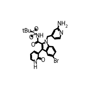 CC(C)(C)S(=O)(=O)NC(=O)c1c(-c2ccc[nH]c2=O)c2cc(Br)ccc2n1Cc1ccnc(N)c1